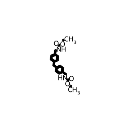 CCOC(=O)NCc1ccc(Cc2ccc(CNC(=O)OCC)cc2)cc1